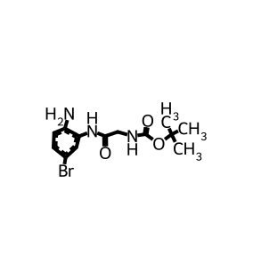 CC(C)(C)OC(=O)NCC(=O)Nc1cc(Br)ccc1N